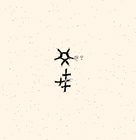 CC(C)(C)[Si]([O-])(C(C)(C)C)C(C)(C)C.CC1=C(C)C(C)(C)[C]([Ti+3])=C1C.[Cl-].[Cl-]